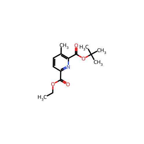 CCOC(=O)c1ccc(C)c(C(=O)OC(C)(C)C)n1